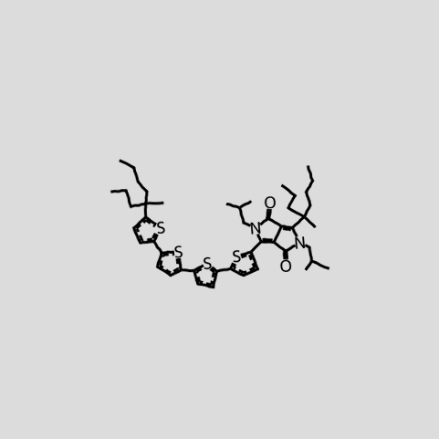 CCCCC(C)(CCC)C1=C2C(=O)N(CC(C)C)C(c3ccc(-c4ccc(-c5ccc(-c6ccc(C(C)(CCC)CCCC)s6)s5)s4)s3)=C2C(=O)N1CC(C)C